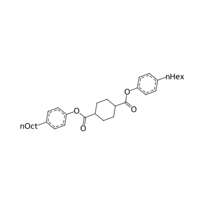 CCCCCCCCc1ccc(OC(=O)C2CCC(C(=O)Oc3ccc(CCCCCC)cc3)CC2)cc1